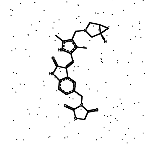 Cc1[nH]c(C=C2C(=O)Nc3ccc(CN4C(=O)COC4=O)cc32)c(C)c1CN1CC2C[C@@H]2C1